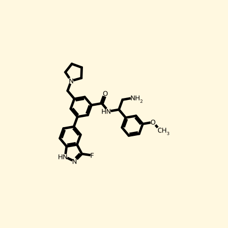 COc1cccc(C(CN)NC(=O)c2cc(CN3CCCC3)cc(-c3ccc4[nH]nc(F)c4c3)c2)c1